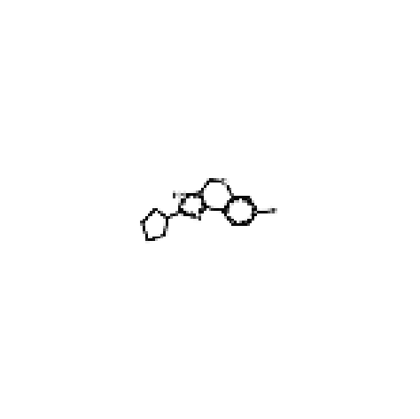 Brc1ccc2c(c1)OCc1[nH]c(C3CCCC3)nc1-2